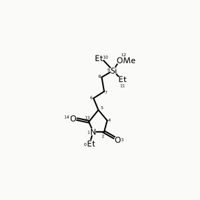 CCN1C(=O)CC(CCC[Si](CC)(CC)OC)C1=O